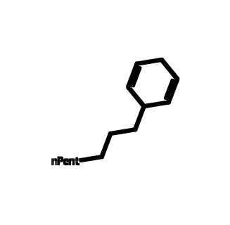 CCCCCCCCC1C=CCC=C1